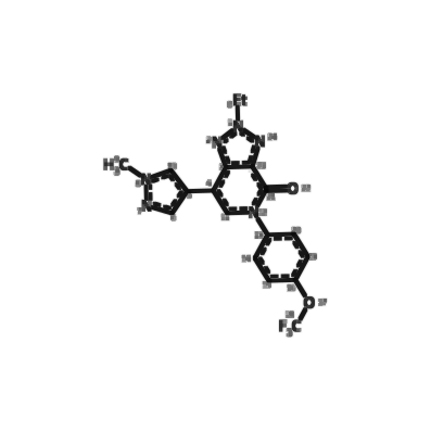 CCn1nc2c(-c3cnn(C)c3)cn(-c3ccc(OC(F)(F)F)cc3)c(=O)c2n1